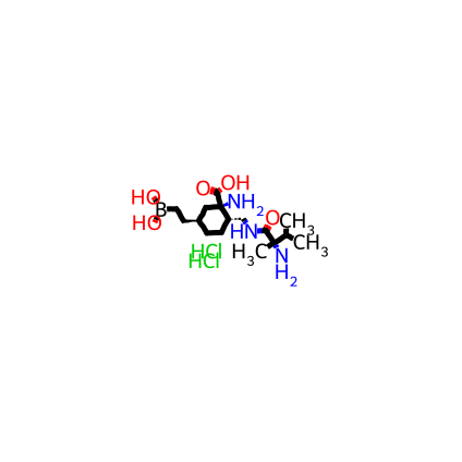 CC(C)C(C)(N)C(=O)NC[C@@H]1CC[C@@H](CCB(O)O)C[C@]1(N)C(=O)O.Cl.Cl